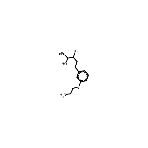 CCCC(O)C(CC)CCc1cccc(SCCN)c1